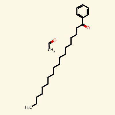 CC=O.CCCCCCCCCCCCCCCCCC(=O)c1ccccc1